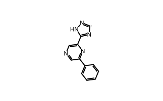 [c]1n[nH]c(-c2cncc(-c3ccccc3)n2)n1